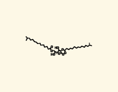 CC(C)CCCCCCCCCCCCC(=O)OC[C@H](O)[C@H]1OC(=O)C(OC(=O)CCCCCCCCCCCCC(C)C)=C1O